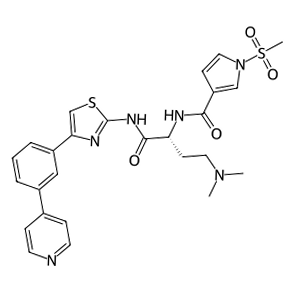 CN(C)CC[C@@H](NC(=O)c1ccn(S(C)(=O)=O)c1)C(=O)Nc1nc(-c2cccc(-c3ccncc3)c2)cs1